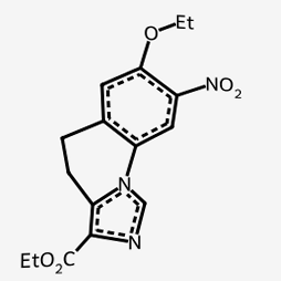 CCOC(=O)c1ncn2c1CCc1cc(OCC)c([N+](=O)[O-])cc1-2